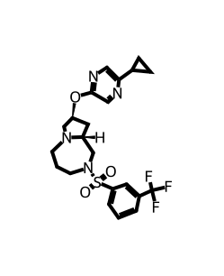 O=S(=O)(c1cccc(C(F)(F)F)c1)N1CCCN2C[C@@H](Oc3cnc(C4CC4)cn3)C[C@@H]2C1